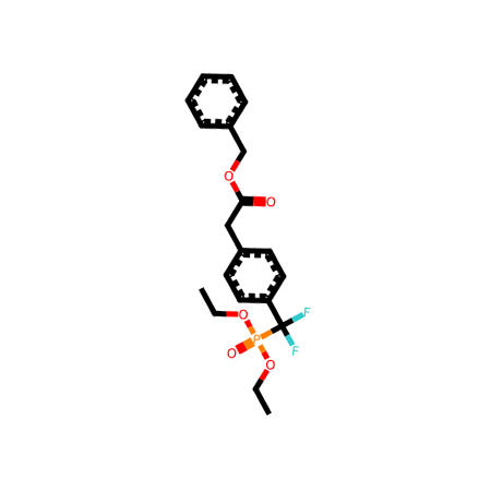 CCOP(=O)(OCC)C(F)(F)c1ccc(CC(=O)OCc2ccccc2)cc1